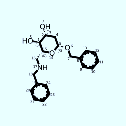 O[C@H]1[C@H](O)C[C@H](OCc2ccccc2)O[C@@H]1CNCc1ccccc1